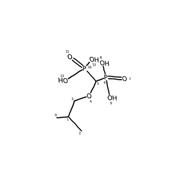 CC(C)COC(P(=O)(O)O)P(=O)(O)O